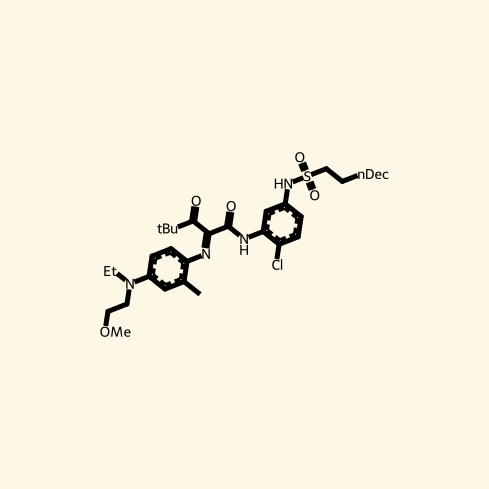 CCCCCCCCCCCCS(=O)(=O)Nc1ccc(Cl)c(NC(=O)C(=Nc2ccc(N(CC)CCOC)cc2C)C(=O)C(C)(C)C)c1